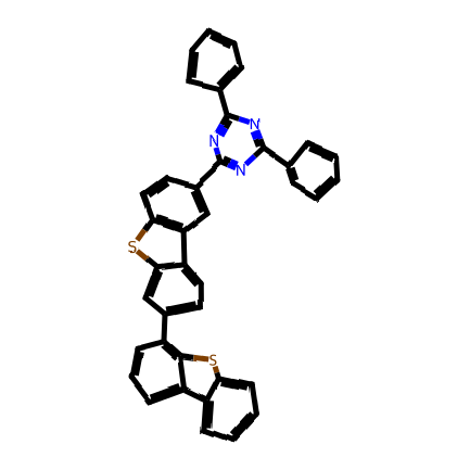 c1ccc(-c2nc(-c3ccccc3)nc(-c3ccc4sc5cc(-c6cccc7c6sc6ccccc67)ccc5c4c3)n2)cc1